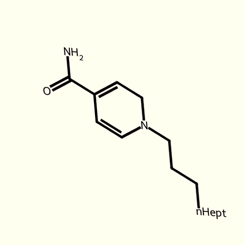 CCCCCCCCCCN1C=CC(C(N)=O)=CC1